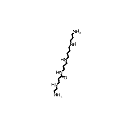 NCCCNCCCCNCCCNC(=O)CCNCCN